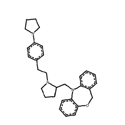 c1ccc2c(c1)COc1ccccc1N2CC1CCCN1CCc1ccc(N2CCCC2)cc1